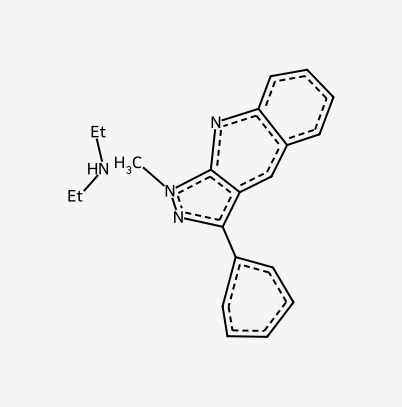 CCNCC.Cn1nc(-c2ccccc2)c2cc3ccccc3nc21